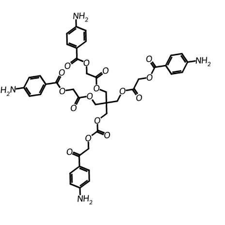 Nc1ccc(C(=O)COC(=O)OCC(COC(=O)COC(=O)c2ccc(N)cc2)(COC(=O)COC(=O)c2ccc(N)cc2)COC(=O)COC(=O)c2ccc(N)cc2)cc1